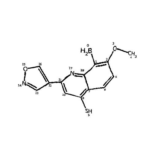 Bc1c(OC)ccc2c(S)cc(-c3cnoc3)nc12